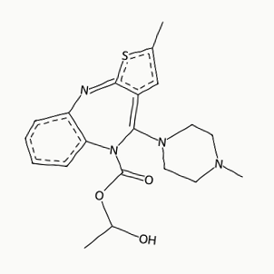 Cc1cc2c(s1)=Nc1ccccc1N(C(=O)OC(C)O)C=2N1CCN(C)CC1